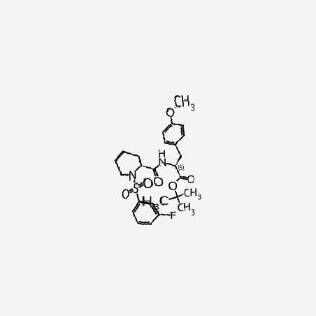 COc1ccc(C[C@H](NC(=O)C2CCCCN2S(=O)(=O)c2cccc(F)c2)C(=O)OC(C)(C)C)cc1